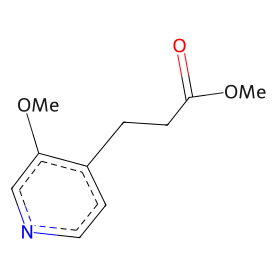 COC(=O)CCc1ccncc1OC